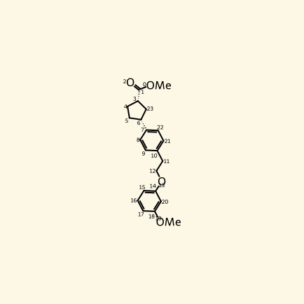 COC(=O)[C@H]1CC[C@@H](c2ccc(CCOc3cccc(OC)c3)cc2)C1